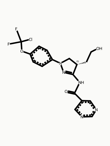 O=C(NC1=NN(c2ccc(OC(F)(F)Cl)cc2)C[C@@H]1CCO)c1cncnc1